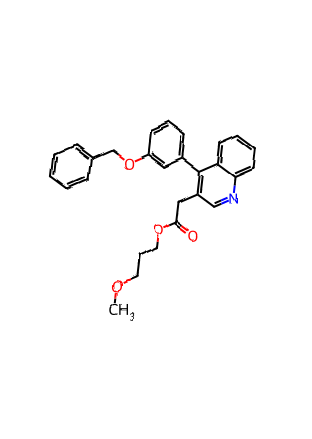 COCCCOC(=O)Cc1cnc2ccccc2c1-c1cccc(OCc2ccccc2)c1